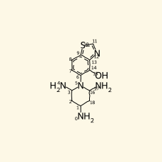 NC1CC(N)N(c2ccc3scnc3c2O)C(N)C1